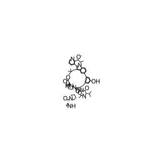 CO[C@@H]1c2ncccc2-c2c3c4cc(ccc4n2C1C)-c1cc(O)cc(c1)C[C@H](NC(=O)C(C(C)C)N(C)C(=O)C[C@H]1CCN(C(=O)[C@H]2CN2)C1)C(=O)N1CCC[C@H](N1)C(=O)OCC(C)(C)C3